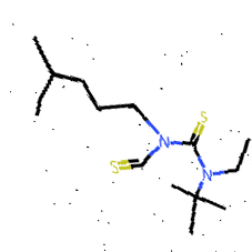 CCN(C(=S)N([C]=S)CCCC(C)C)C(C)(C)C